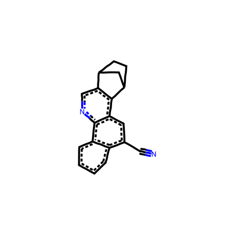 N#Cc1cc2c3c(cnc2c2ccccc12)C1CCC3C1